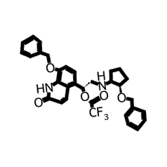 O=C(O[C@@H](CNC1CCC[C@H]1OCc1ccccc1)c1ccc(OCc2ccccc2)c2[nH]c(=O)ccc12)C(F)(F)F